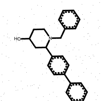 OC1CCN(Cc2ccccc2)C(c2ccc(-c3ccccc3)cc2)C1